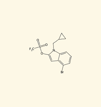 O=S(=O)(Oc1cc2c(Br)cccc2n1CC1CC1)C(F)(F)F